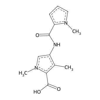 Cc1c(NC(=O)c2cccn2C)cn(C)c1C(=O)O